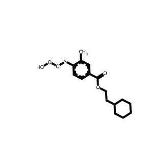 Cc1cc(C(=O)OCCC2CCCCC2)ccc1SOOO